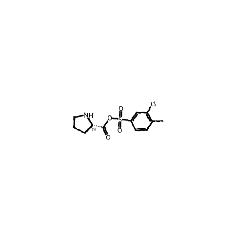 Cc1ccc(S(=O)(=O)OC(=O)[C@@H]2CCCN2)cc1Cl